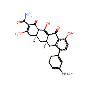 CC(=O)NC1=CCCC(c2ccc(O)c3c2C[C@H]2C[C@H]4CC(O)=C(C(N)=O)C(=O)C4C(O)=C2C3=O)=C1